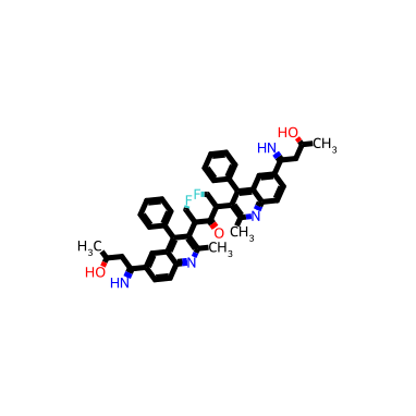 Cc1nc2ccc(C(=N)CC(C)O)cc2c(-c2ccccc2)c1C(CF)C(=O)C(CF)c1c(C)nc2ccc(C(=N)CC(C)O)cc2c1-c1ccccc1